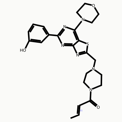 C/C=C/C(=O)N1CCN(Cc2nc3nc(-c4cccc(O)c4)nc(N4CCOCC4)c3s2)CC1